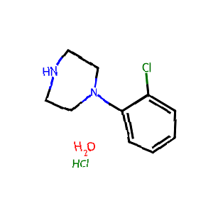 Cl.Clc1ccccc1N1CCNCC1.O